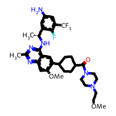 COCCN1CCN(C(=O)C2CCC(c3cc4c(N[C@H](C)c5cc(N)cc(C(F)(F)F)c5F)nc(C)nc4cc3OC)CC2)CC1